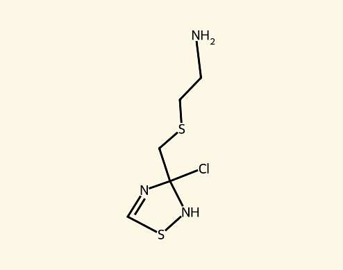 NCCSCC1(Cl)N=CSN1